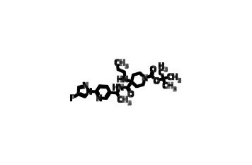 CCCNC1(C(=O)NC(C)c2ccc(-n3cc(F)cn3)nc2)CCN(C(=O)OC(C)(C)C)CC1